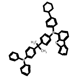 CC(C)(c1ccc(N(c2ccccc2)c2ccccc2)cc1)c1ccc(N(c2ccc(C3CCCCC3)cc2)c2cccc3c2sc2ccccc23)cc1